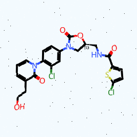 O=C(NC[C@H]1CN(c2ccc(-n3cccc(CCO)c3=O)c(Cl)c2)C(=O)O1)c1ccc(Cl)s1